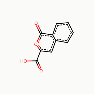 O=C(O)c1cc2ccccc2c(=O)o1